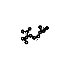 c1ccc(-c2cc(-c3ccccc3)nc(-n3c4ccc(-c5ccc6sc7ccc(-c8ccc9c(c8)c8ccc%10c%11ccccc%11sc%10c8n9-c8ccccc8)cc7c6c5)cc4c4cc5c(cc43)c3ccccc3n5-c3ccccc3)n2)cc1